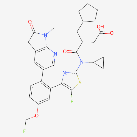 CN1C(=O)Cc2cc(-c3ccc(OCF)cc3-c3nc(N(C(=O)C(CC(=O)O)CC4CCCC4)C4CC4)sc3F)cnc21